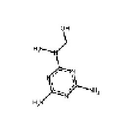 Nc1nc(N)nc(N(N)CO)n1